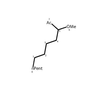 CCCCCCCCCC(OC)C(C)=O